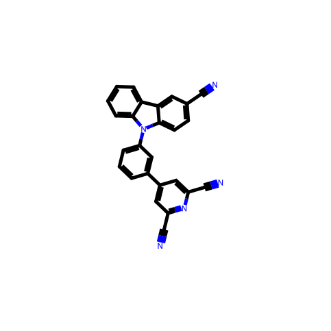 N#Cc1ccc2c(c1)c1ccccc1n2-c1cccc(-c2cc(C#N)nc(C#N)c2)c1